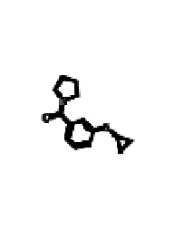 O=C(c1cccc(SC2CC2)c1)N1CCCC1